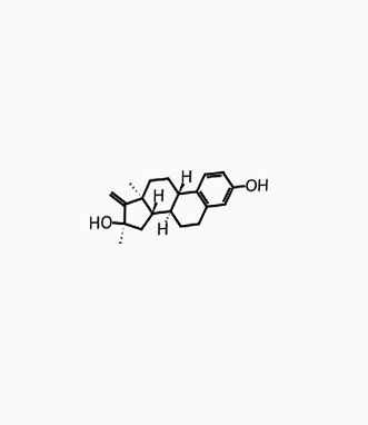 C=C1[C@](C)(O)C[C@H]2[C@@H]3CCc4cc(O)ccc4[C@H]3CC[C@]12C